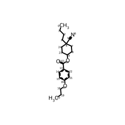 CCCCC1(C#N)CCC(OC(=O)c2ccc(OCCC)cc2)CC1